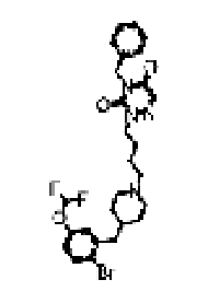 O=c1cnn(CCCCN2CCC(Cc3cc(OC(F)F)ccc3Br)CC2)c(=O)n1Cc1ccccc1